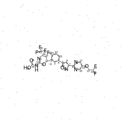 C[C@@]1(c2cc(-c3cc(-c4ncc(OCC(F)F)cn4)no3)ccc2F)C[C@@H](C(F)(F)F)N=C(NC(=O)O)O1